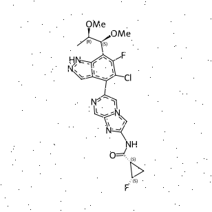 CO[C@H](C)[C@@H](OC)c1c(F)c(Cl)c(-c2cn3cc(NC(=O)[C@@H]4C[C@@H]4F)nc3cn2)c2cn[nH]c12